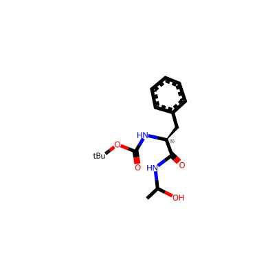 CC(O)NC(=O)[C@H](Cc1ccccc1)NC(=O)OC(C)(C)C